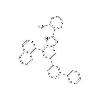 Nc1ccccc1-c1nc2c(-c3cccc4ccccc34)cc(-c3cccc(-c4ccccc4)c3)cc2s1